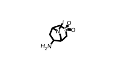 NC1CC2CS(=O)(=O)CC1CN2I